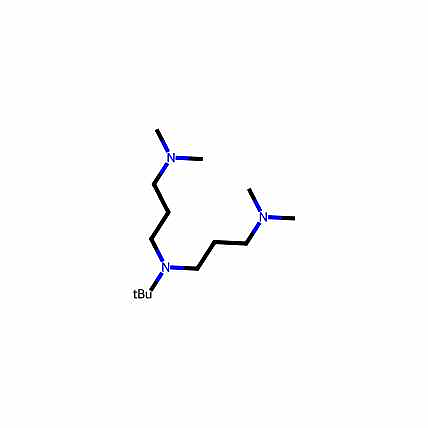 CN(C)CCCN(CCCN(C)C)C(C)(C)C